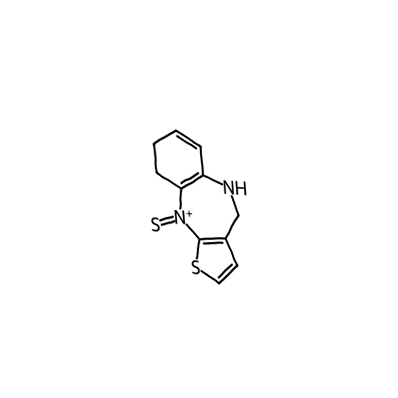 S=[N+]1C2=C(C=CCC2)NCc2ccsc21